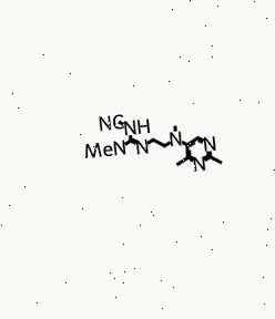 CNC(=NCCN(C)c1cnc(C)nc1C)NC#N